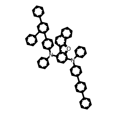 c1ccc(-c2ccc(-c3ccc(N(c4ccccc4)c4ccc(N(c5ccccc5)c5ccc(-c6ccc(-c7ccccc7)cc6-c6ccccc6)cc5)c5c4oc4c6ccccc6ccc45)cc3)cc2)cc1